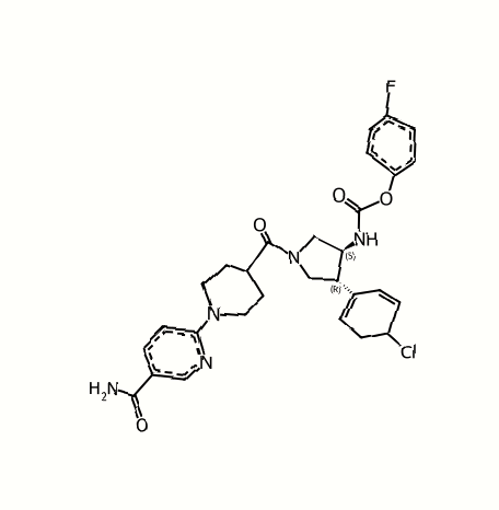 NC(=O)c1ccc(N2CCC(C(=O)N3C[C@@H](NC(=O)Oc4ccc(F)cc4)[C@H](C4=CCC(Cl)C=C4)C3)CC2)nc1